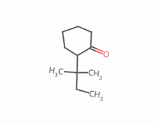 CCC(C)(C)C1CCCCC1=O